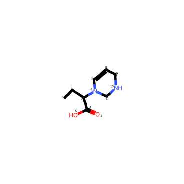 CCC(C(=O)O)N1C=CCNC1